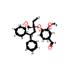 CCC([C]=O)(CC(c1ccccc1)c1ccccc1)Oc1ccc(C=O)cc1OC